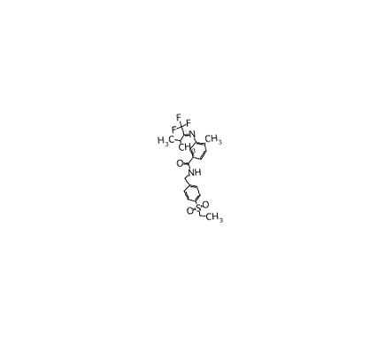 CCS(=O)(=O)c1ccc(CNC(=O)c2ccc(C)c(/N=C(\C(C)C)C(F)(F)F)c2)cc1